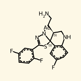 CC(=O)N1N=C(c2cc(F)ccc2F)S[C@@]12c1cc(F)ccc1NC[C@@H]2CCN